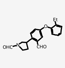 CCc1ccccc1Oc1ccc(C2CCN(C=O)C2)c(C=O)c1